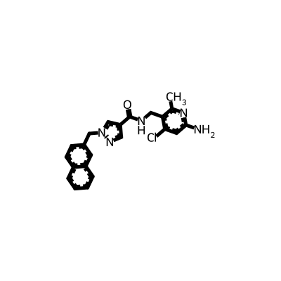 Cc1nc(N)cc(Cl)c1CNC(=O)c1cnn(Cc2ccc3ccccc3c2)c1